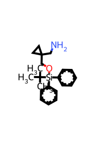 CC(C)(C)[Si](OCC1(CN)CC1)(c1ccccc1)c1ccccc1